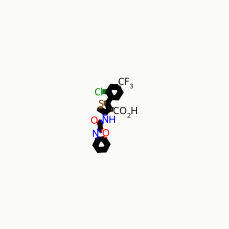 O=C(Nc1csc(-c2ccc(C(F)(F)F)cc2Cl)c1C(=O)O)c1nc2ccccc2o1